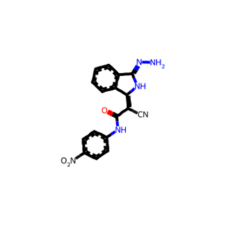 N#CC(C(=O)Nc1ccc([N+](=O)[O-])cc1)=C1NC(=NN)c2ccccc21